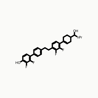 CCCC(O)C1CC=C(c2ccc(CCc3ccc(-c4ccc(O)c(F)c4F)cc3)c(F)c2F)CC1